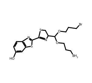 BCCCOC(OCCCBr)C1CSC(c2nc3ccc(O)cc3s2)=N1